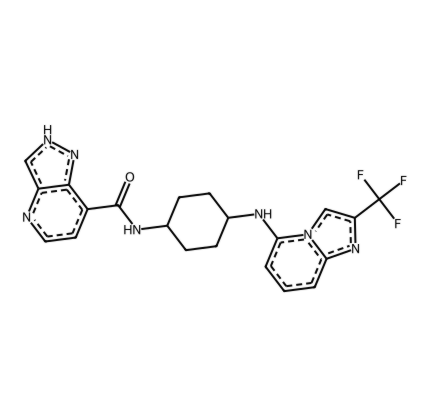 O=C(NC1CCC(Nc2cccc3nc(C(F)(F)F)cn23)CC1)c1ccnc2c[nH]nc12